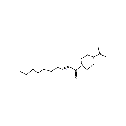 CCCCCCC/C=C/C(=O)N1CCC(N(C)C)CC1